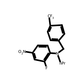 CCCN(Cc1ccc(C(F)(F)F)cc1)c1ccc([N+](=O)[O-])cc1F